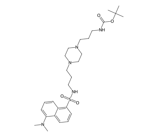 CN(C)c1cccc2c(S(=O)(=O)NCCCN3CCN(CCCNC(=O)OC(C)(C)C)CC3)cccc12